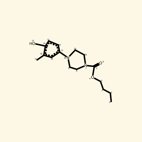 CCCCOC(=O)N1CCN(c2ccc(O)c(C)c2)CC1